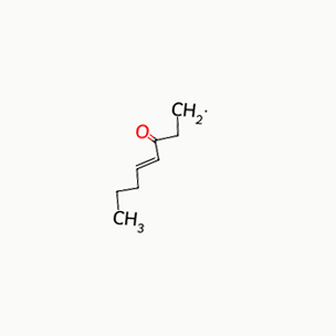 [CH2]CC(=O)C=CCCC